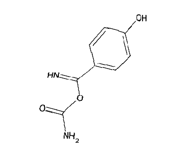 N=C(OC(N)=O)c1ccc(O)cc1